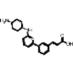 N[C@H]1CC[C@@H](Nc2cccc(-c3cccc(/C=C/C(=O)O)c3)n2)CC1